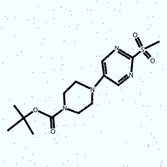 CC(C)(C)OC(=O)N1CCN(c2cnc(S(C)(=O)=O)nc2)CC1